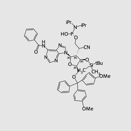 COc1ccc(C(OC[C@H]2O[C@@H](n3cnc4c(NC(=O)c5ccccc5)ncnc43)[C@H](C(C#N)COP(O)N(C(C)C)C(C)C)[C@H]2O[Si](C)(C)C(C)(C)C)(c2ccccc2)c2ccc(OC)cc2)cc1